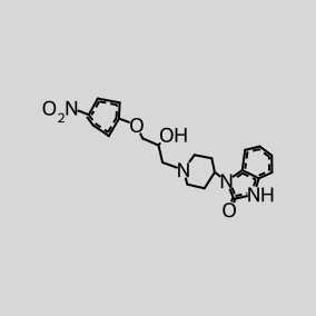 O=c1[nH]c2ccccc2n1C1CCN(CC(O)COc2ccc([N+](=O)[O-])cc2)CC1